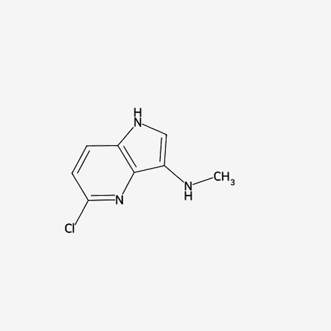 CNc1c[nH]c2ccc(Cl)nc12